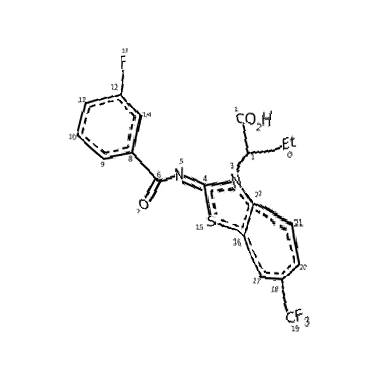 CCC(C(=O)O)n1c(=NC(=O)c2cccc(F)c2)sc2cc(C(F)(F)F)ccc21